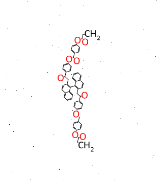 C=CC(=O)Oc1ccc(COc2ccc(C(=O)Cc3ccc4ccccc4c3-c3c(CC(=O)c4ccc(OC(=O)c5ccc(OC(=O)C=C)cc5)cc4)ccc4ccccc34)cc2)cc1